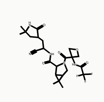 CC1(C)CC(CC(C#N)NC(=O)C2C3C(CN2C(=O)C2(NC(=O)C(F)(F)F)COC2)C3(C)C)C(=O)N1